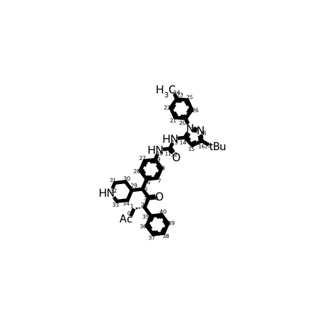 CC(=O)C[C@H](C(=O)C(c1ccc(NC(=O)Nc2cc(C(C)(C)C)nn2-c2ccc(C)cc2)cc1)C1CCNCC1)c1ccccc1